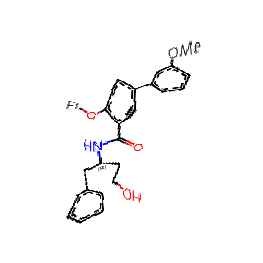 CCOc1ccc(-c2cccc(OC)c2)cc1C(=O)N[C@@H](CCO)Cc1ccccc1